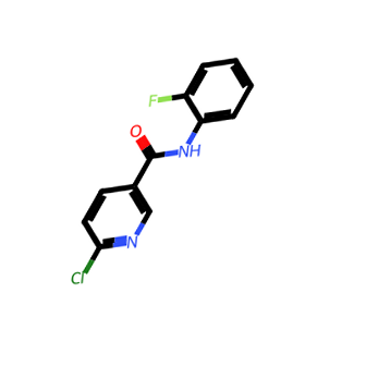 O=C(Nc1ccccc1F)c1ccc(Cl)nc1